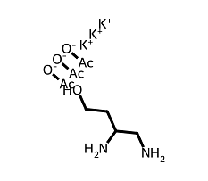 CC(=O)[O-].CC(=O)[O-].CC(=O)[O-].NCC(N)CCO.[K+].[K+].[K+]